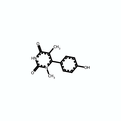 Cc1c(-c2ccc(O)cc2)n(C)c(=O)[nH]c1=O